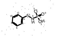 O=P(O)(Cl)NSc1ccccc1